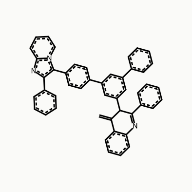 C=C1c2ccccc2N=C(c2ccccc2)C1c1cc(-c2ccccc2)cc(-c2ccc(-c3c(-c4ccccc4)nc4ccccn34)cc2)c1